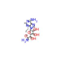 CC[C@@]1(n2cnc3c(N)ncnc32)O[C@H](C(O)C(N)=O)[C@@H](O)[C@H]1O